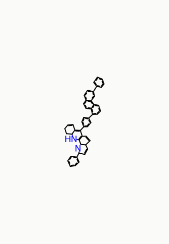 C1=CC2=C(c3ccc(-c4cccc5c4ccc4ccc(-c6ccccc6)cc45)cc3)C3=C(NC2CC1)C1N=C(c2ccccc2)C=CC1C=C3